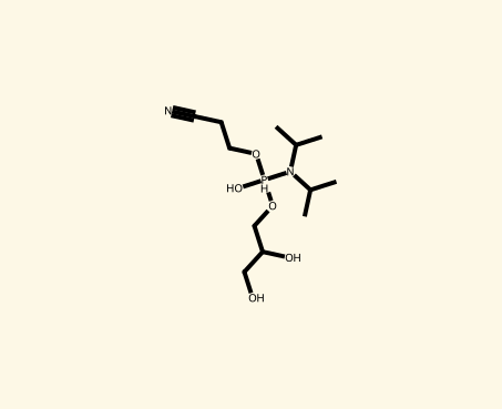 CC(C)N(C(C)C)[PH](O)(OCCC#N)OCC(O)CO